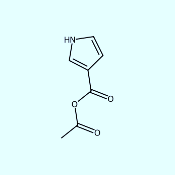 CC(=O)OC(=O)c1cc[nH]c1